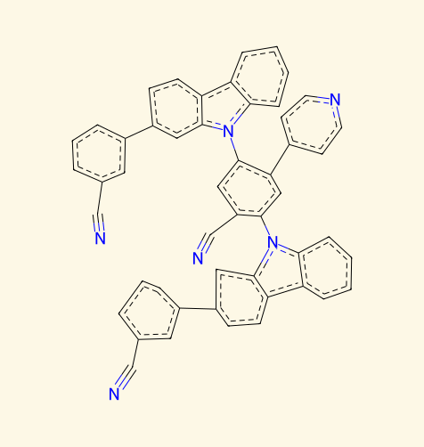 N#Cc1cccc(-c2ccc3c4ccccc4n(-c4cc(-c5ccncc5)c(-n5c6ccccc6c6ccc(-c7cccc(C#N)c7)cc65)cc4C#N)c3c2)c1